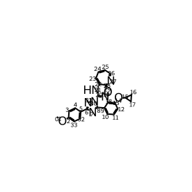 COc1ccc(-c2nc3c4cccc(OC5CC5)c4nc(Nc4ccccnc4=O)n3n2)cc1